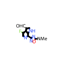 CNc1nc(-c2ncc(F)c3c(C=O)c[nH]c23)no1